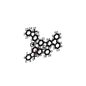 CC1(C)c2ccccc2-c2cc(P(=O)(c3ccc4c(c3)-c3ccccc3C4(C)C)c3ccc4c(c3)[Si](c3ccccc3)(c3ccccc3)c3cc5c6ccccc6c6ccccc6c5cc3-4)ccc21